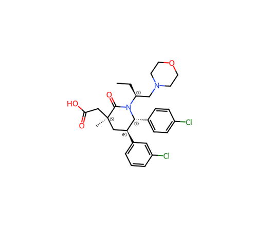 CC[C@@H](CN1CCOCC1)N1C(=O)[C@](C)(CC(=O)O)C[C@H](c2cccc(Cl)c2)[C@H]1c1ccc(Cl)cc1